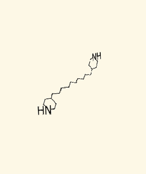 C(CCCCCC1CCNCC1)CCCCC1CCNCC1